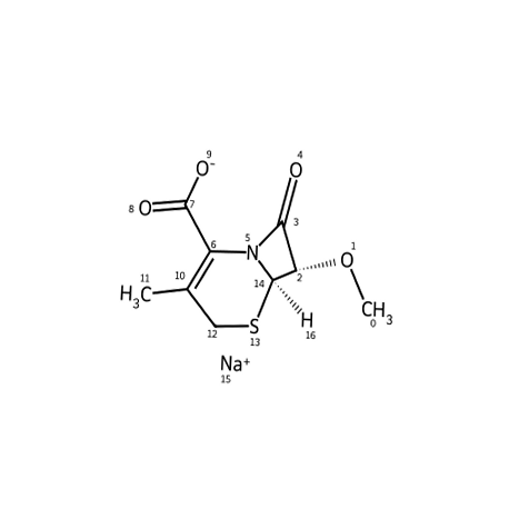 CO[C@H]1C(=O)N2C(C(=O)[O-])=C(C)CS[C@H]12.[Na+]